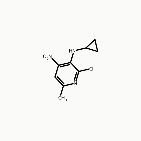 Cc1cc([N+](=O)[O-])c(NC2CC2)c(Cl)n1